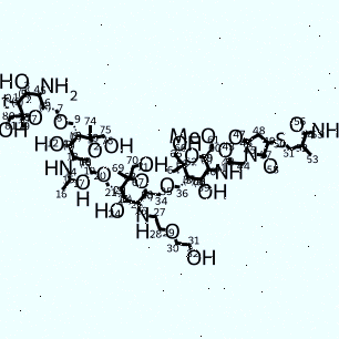 CC[C@H]1[C@@H](O)C(N)[C@H](COC[C@H]2[C@@H](O)C(NC(C)O)[C@H](COC[C@H]3[C@@H](O)C(NCCOCCO)[C@H](COC[C@H]4[C@@H](O)C(NC(=O)CN5C(=O)CC(SCC(C)C(N)=O)C5=O)[C@H](COC)OC4(C)CO)OC3(C)CO)OC2(C)CO)OC1(C)CO